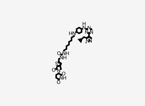 Cn1ncc(-c2ncnc(NC3CCC(NCCCCCCCCNC(=O)NCc4cc5c(s4)C(=O)N(C4CCC(=O)NC4=O)C5)CC3)n2)c1CC1CC1